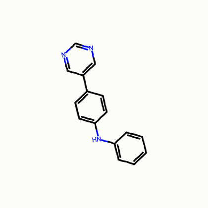 c1ccc(Nc2ccc(-c3cncnc3)cc2)cc1